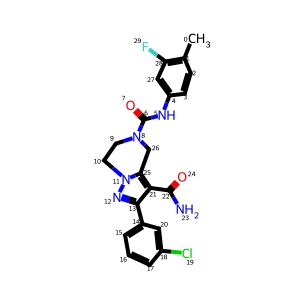 Cc1ccc(NC(=O)N2CCn3nc(-c4cccc(Cl)c4)c(C(N)=O)c3C2)cc1F